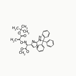 C=C(ON=C(C(=O)OC)c1csc(NC(c2ccccc2)(c2ccccc2)c2ccccc2)n1)C(=O)OC(C)(C)C